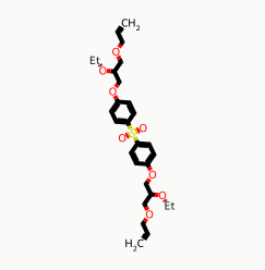 C=CCOCC(COc1ccc(S(=O)(=O)c2ccc(OCC(COCC=C)OCC)cc2)cc1)OCC